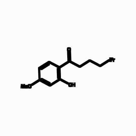 COc1ccc(C(=O)CCCC(C)C)c(O)c1